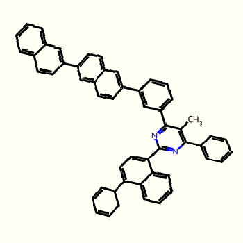 Cc1c(-c2ccccc2)nc(-c2ccc(C3C=CC=CC3)c3ccccc23)nc1-c1cccc(-c2ccc3cc(-c4ccc5ccccc5c4)ccc3c2)c1